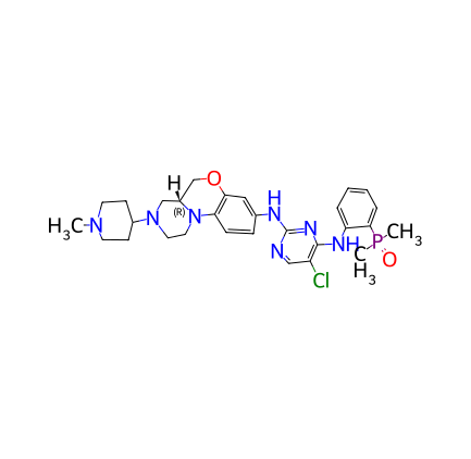 CN1CCC(N2CCN3c4ccc(Nc5ncc(Cl)c(Nc6ccccc6P(C)(C)=O)n5)cc4OC[C@H]3C2)CC1